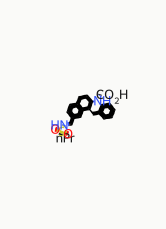 CCCS(=O)(=O)NCc1ccc2c(c1)[C@H](Cc1ccccc1)[C@H](NC(=O)O)CC2